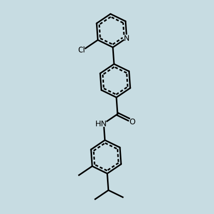 Cc1cc(NC(=O)c2ccc(-c3ncccc3Cl)cc2)ccc1C(C)C